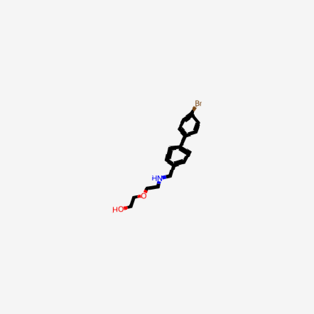 OCCOCCNCc1ccc(-c2ccc(Br)cc2)cc1